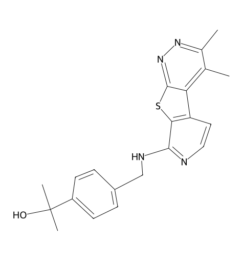 Cc1nnc2sc3c(NCc4ccc(C(C)(C)O)cc4)nccc3c2c1C